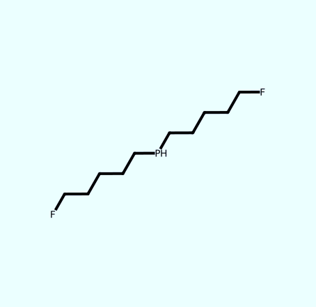 FCCCCCPCCCCCF